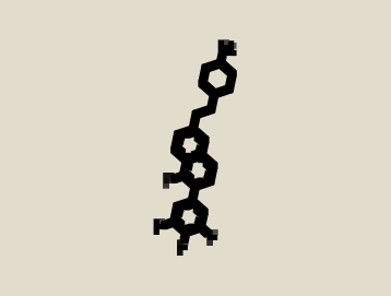 CCC1CCC(CCc2ccc3c(F)c(-c4cc(F)c(F)c(F)c4)ccc3c2)CC1